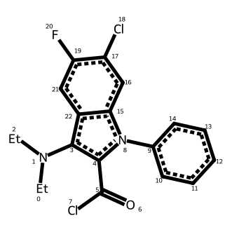 CCN(CC)c1c(C(=O)Cl)n(-c2ccccc2)c2cc(Cl)c(F)cc12